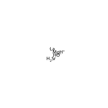 [La].[MgH+].[OH-].[SrH2]